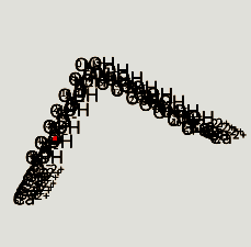 O=[N+]([O-])O.O=[N+]([O-])O.O=[N+]([O-])O.O=[N+]([O-])O.O=[N+]([O-])O.O=[N+]([O-])O.O=[N+]([O-])O.O=[N+]([O-])O.O=[N+]([O-])O.O=[N+]([O-])O.O=[N+]([O-])O.O=[N+]([O-])O.O=[N+]([O-])O.O=[N+]([O-])O.[Ca+2].[Ca+2].[Ca+2].[Ca+2].[Ca+2].[Ca+2].[Ca+2].[Ca+2].[Ca+2].[Ca+2].[Ca+2].[Ca+2].[Ca+2]